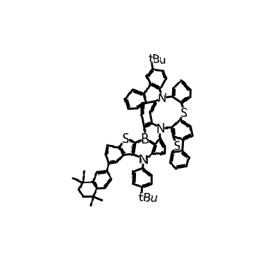 CC(C)(C)c1ccc(N2c3cccc4c3B(c3ccc5cc3N4c3c(ccc4c3sc3ccccc34)Sc3ccccc3N5c3ccc(C(C)(C)C)cc3-c3ccccc3)c3sc4ccc(-c5ccc6c(c5)C(C)(C)CCC6(C)C)cc4c32)cc1